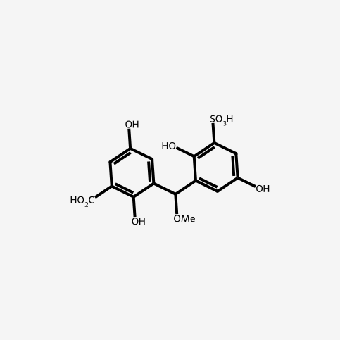 COC(c1cc(O)cc(C(=O)O)c1O)c1cc(O)cc(S(=O)(=O)O)c1O